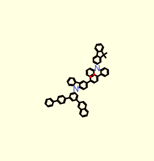 CC1(C)c2ccccc2-c2ccc(N(c3ccccc3)c3ccccc3-c3ccc(-c4ccc5c(c4)c4ccccc4n5-c4cc(-c5ccc(-c6ccccc6)cc5)cc(-c5ccc6ccccc6c5)c4)cc3)cc21